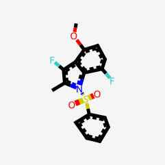 COc1ccc(F)c2c1c(F)c(C)n2S(=O)(=O)c1ccccc1